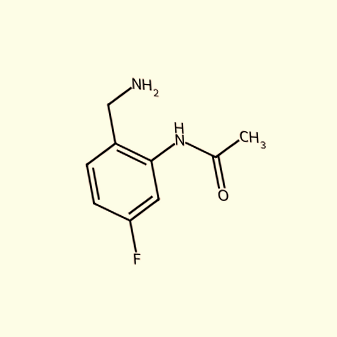 CC(=O)Nc1cc(F)ccc1CN